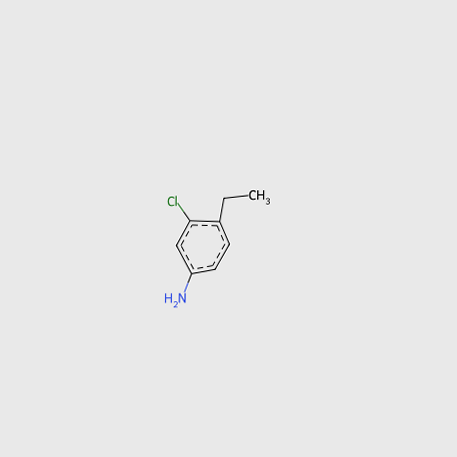 CCc1ccc(N)cc1Cl